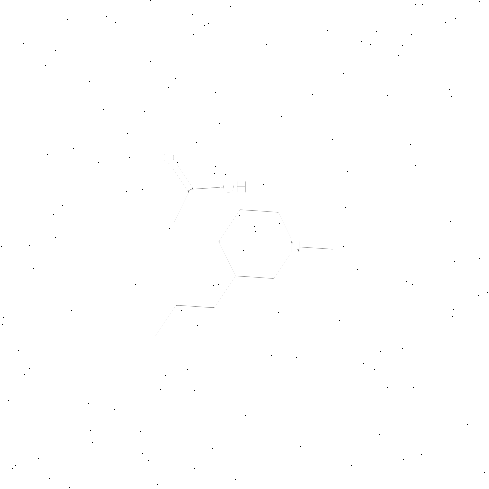 CC(=O)O.CCCC1CCCN(C)C1